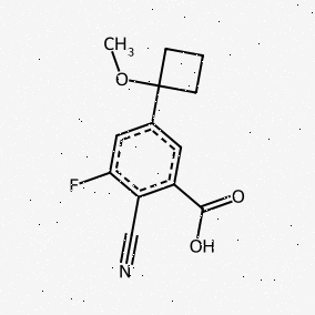 COC1(c2cc(F)c(C#N)c(C(=O)O)c2)CCC1